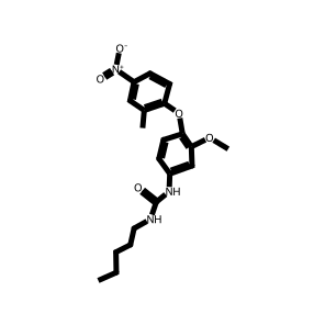 CCCCCNC(=O)Nc1ccc(Oc2ccc([N+](=O)[O-])cc2C)c(OC)c1